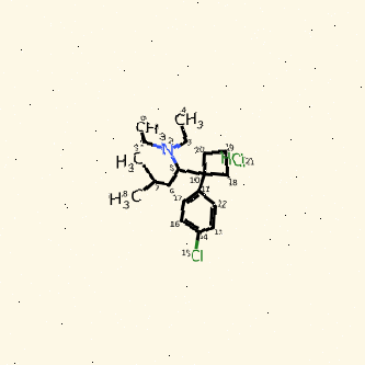 CCN(CC)C(CC(C)C)C1(c2ccc(Cl)cc2)CCC1.Cl